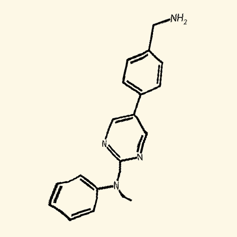 CN(c1ccccc1)c1ncc(-c2ccc(CN)cc2)cn1